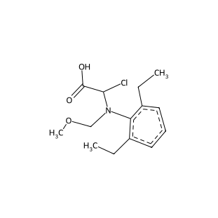 CCc1cccc(CC)c1N(COC)C(Cl)C(=O)O